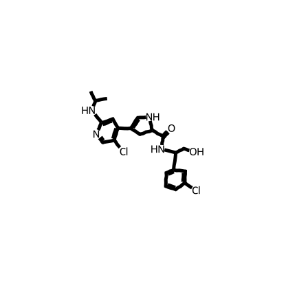 CC(C)Nc1cc(C2=CNC(C(=O)NC(CO)c3cccc(Cl)c3)C2)c(Cl)cn1